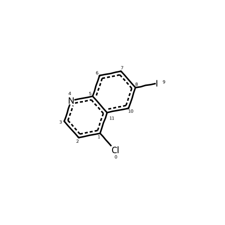 Clc1ccnc2ccc(I)cc12